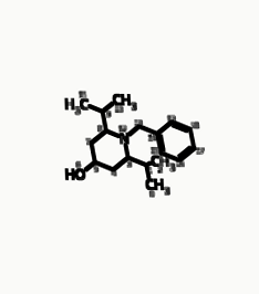 CC(C)C1CC(O)CC(C(C)C)N1Cc1ccccc1